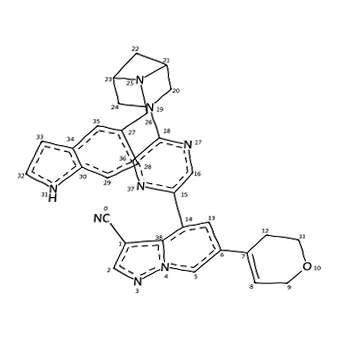 N#Cc1cnn2cc(C3=CCOCC3)cc(-c3cnc(N4CC5CC(C4)N5Cc4ccc5[nH]ccc5c4)cn3)c12